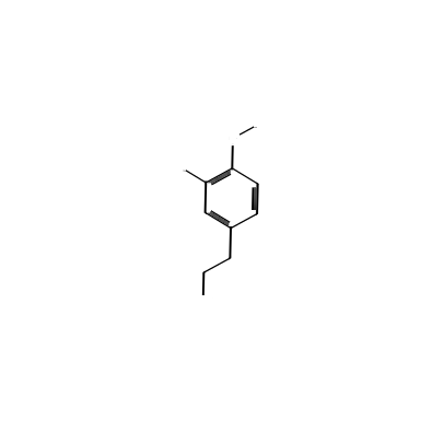 CCOc1ccc(CCC(=O)O)cc1C(C)(C)C